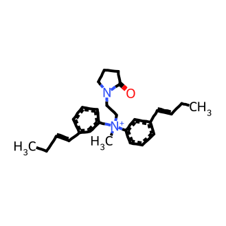 CCC=Cc1cccc([N+](C)(CCN2CCCC2=O)c2cccc(C=CCC)c2)c1